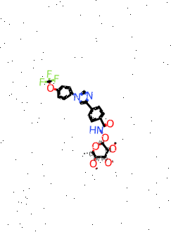 CO[C@@H]1[C@@H](OC)[C@H](C)O[C@@H](ONC(=O)c2ccc(-c3cn(-c4ccc(OC(F)(F)F)cc4)cn3)cc2)[C@@H]1OC